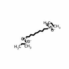 CCC(C)[S+]([O-])[S+]([O-])CCCCCCCCCC[S+]([O-])[S+]([O-])C(C)CC